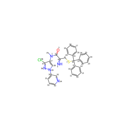 CN(C(=O)C(=N)CSC(c1ccccc1)(c1ccccc1)c1ccccc1)c1cn(-c2cccnc2)nc1Cl